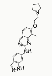 Cc1c(OCCN2CCCC2)ccc2cnc(Nc3ccc4cn[nH]c4c3)nc12